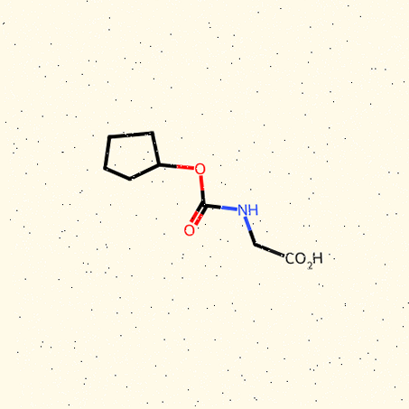 O=C(O)CNC(=O)OC1CCCC1